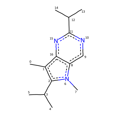 Cc1c(C(C)C)n(C)c2cnc(C(C)C)nc12